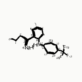 CCCC(=N)c1ccccc1NC1C=CC(C(F)(F)F)=CC1